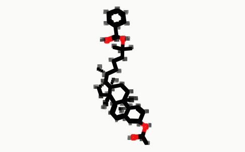 CC(=O)OC1=CC2=CC=C3[C@@H]4CC[C@H]([C@H](C)CCCC(C)(C)OC(=O)c5ccccc5)[C@@]4(C)CC[C@@H]3[C@@]2(C)C=C1